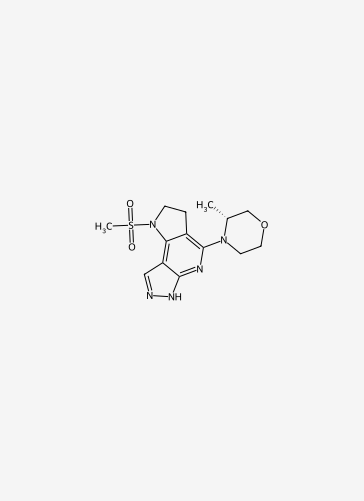 C[C@@H]1COCCN1c1nc2[nH]ncc2c2c1CCN2S(C)(=O)=O